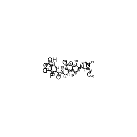 COC[C@H]1CN(c2cc(C)c3c4c(c(=O)oc3c2C)CN(C(=O)c2ccc(C(=O)O)c(Cl)c2F)CC4)CCN1C